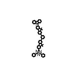 CC1(C)c2cc(-c3cccc(-c4ccc5c(c4)C(C)(C)c4cc(-n6c7ccccc7c7ccccc76)ccc4-5)c3)ccc2-c2ccc(-c3nc(-c4ccccc4)nc(-c4ccccc4)n3)cc21